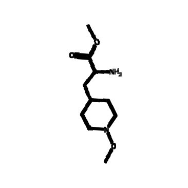 COC(=O)C(N)CC1CCN(OC)CC1